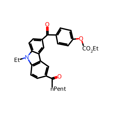 CCCCCC(=O)c1ccc2c(c1)c1cc(C(=O)c3ccc(OC(=O)OCC)cc3)ccc1n2CC